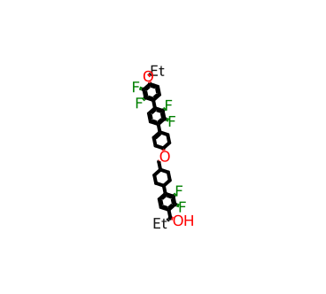 CCOc1ccc(-c2ccc(C3=CCC(OCC4CCC(c5ccc(C(O)CC)c(F)c5F)CC4)CC3)c(F)c2F)c(F)c1F